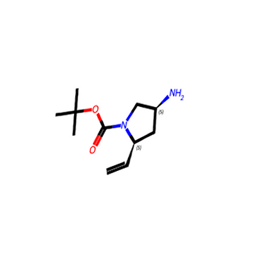 C=C[C@@H]1C[C@H](N)CN1C(=O)OC(C)(C)C